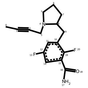 CC#CCN1CCCC1Cc1cc(F)cc(C(N)=O)c1F